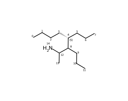 CCCC[C@H](CCC)C(CCC)C(C)N